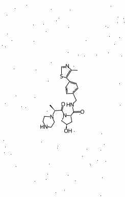 Cc1ncsc1-c1ccc(CNC(=O)C2C[C@@H](O)CN2C(=O)[C@H](C)N2CCNCC2)cc1